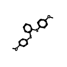 COc1ccc(Sc2ccccc2Sc2ccc(OC)cc2)cc1